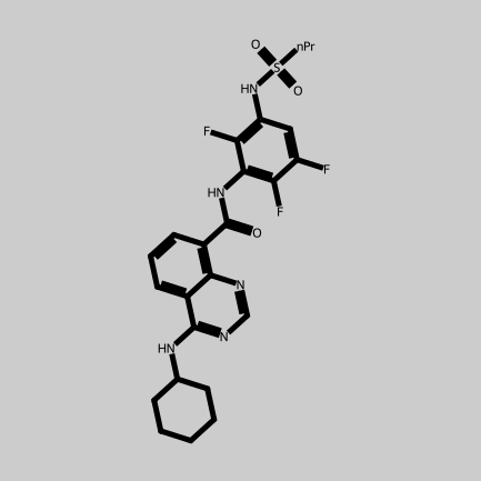 CCCS(=O)(=O)Nc1cc(F)c(F)c(NC(=O)c2cccc3c(NC4CCCCC4)ncnc23)c1F